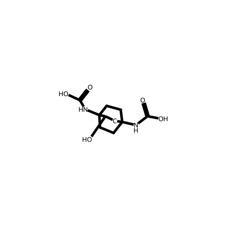 O=C(O)NC12CCC(NC(=O)O)(CC1)C(O)C2